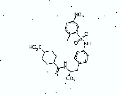 Cc1ccc([N+](=O)[O-])cc1S(=O)(=O)Nc1ccc(C[C@H](NC(=O)C2CCC(C(=O)O)CC2)C(=O)O)cc1